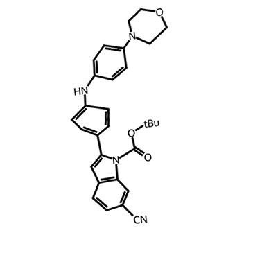 CC(C)(C)OC(=O)n1c(-c2ccc(Nc3ccc(N4CCOCC4)cc3)cc2)cc2ccc(C#N)cc21